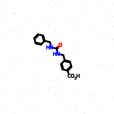 O=C(NCc1ccccc1)NCc1ccc(C(=O)O)cc1